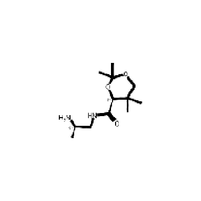 C[C@@H](N)CNC(=O)[C@H]1OC(C)(C)OCC1(C)C